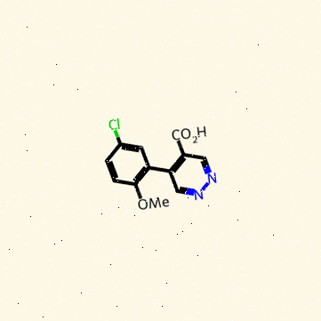 COc1ccc(Cl)cc1-c1cnncc1C(=O)O